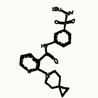 CC(C)(C)NS(=O)(=O)c1cccc(NC(=O)c2cccnc2N2CCC3(CC2)CC3)c1